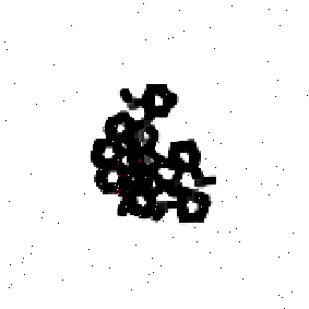 COc1ccccc1P(CC(CC(CP(c1ccccc1OC)c1ccccc1OC)C(P)(c1ccccc1OC)c1ccccc1OC)C(P)(c1ccccc1OC)c1ccccc1OC)c1ccccc1OC